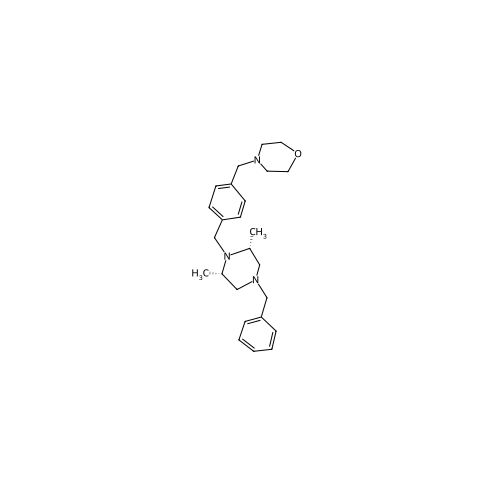 C[C@@H]1CN(Cc2ccccc2)C[C@H](C)N1Cc1ccc(CN2CCOCC2)cc1